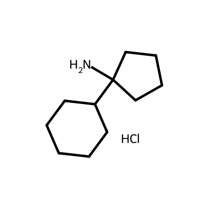 Cl.NC1(C2CCCCC2)CCCC1